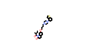 CCC(C)C(=O)n1c(=O)ccc2ccc(OCCCCN3CCN(c4cccc5sccc45)CC3)cc21